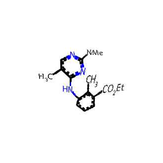 CCOC(=O)c1cccc(Nc2nc(NC)ncc2C)c1C